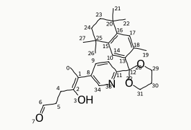 C/C(=C(/O)CCC=O)c1ccc(C2(c3cc4c(cc3C)C(C)(C)CCC4(C)C)OCCCO2)nc1